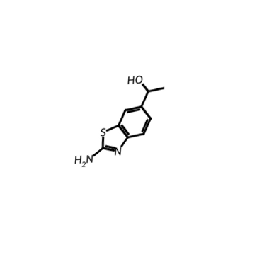 CC(O)c1ccc2nc(N)sc2c1